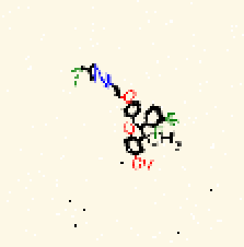 CC1=C(c2cccc(F)c2F)C(c2ccc(OCCN3CC(CF)C3)cc2)Oc2ccc(O)cc21